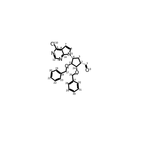 O=C[C@H]1C[C@@H](n2ccc3c(Cl)ncnc32)[C@H](OCc2ccccc2)[C@@H]1OCc1ccccc1